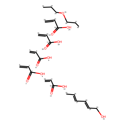 C=CC(=O)O.C=CC(=O)O.C=CC(=O)O.C=CC(=O)O.C=CC(=O)O.CC=CC=CCO.CCCOCCC